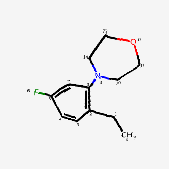 CCc1ccc(F)cc1N1CCOCC1